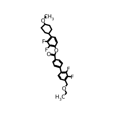 CCOCc1ccc(-c2ccc(C(=O)Oc3ccc(C4CCC(OC)CC4)c(F)c3F)cc2)c(F)c1F